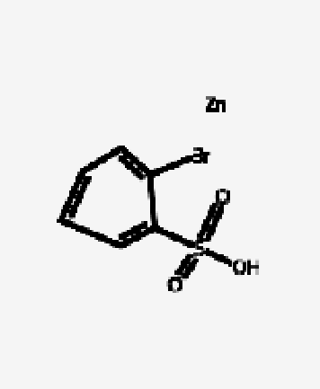 O=S(=O)(O)c1ccccc1Br.[Zn]